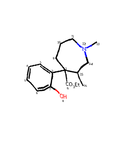 CCOC(=O)C1(c2ccccc2O)CCCN(C)CC1C